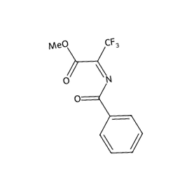 COC(=O)C(=NC(=O)c1ccccc1)C(F)(F)F